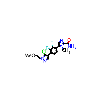 COCCn1ncc(-c2ccc(-c3cnc(C(N)=O)n3C)c(F)c2F)c1Cl